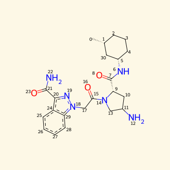 C[C@@H]1CCC[C@H](NC(=O)[C@@H]2CC(N)CN2C(=O)Cn2nc(C(N)=O)c3ccccc32)C1